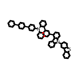 c1ccc(-c2ccc(-c3ccc(N(c4ccccc4)c4ccccc4-c4cccc(-c5cccc6c5c5ccccc5n6-c5ccc6sc7ccccc7c6c5)c4)cc3)cc2)cc1